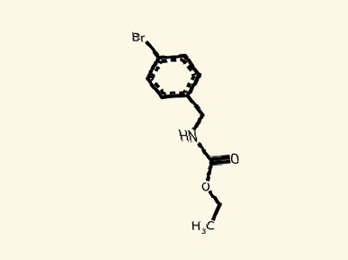 CCOC(=O)NCc1ccc(Br)cc1